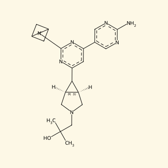 CC(C)(O)CN1C[C@@H]2C(c3cc(-c4cnc(N)nc4)nc(N4CC5CC4C5)n3)[C@@H]2C1